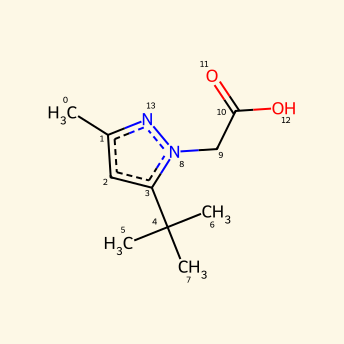 Cc1cc(C(C)(C)C)n(CC(=O)O)n1